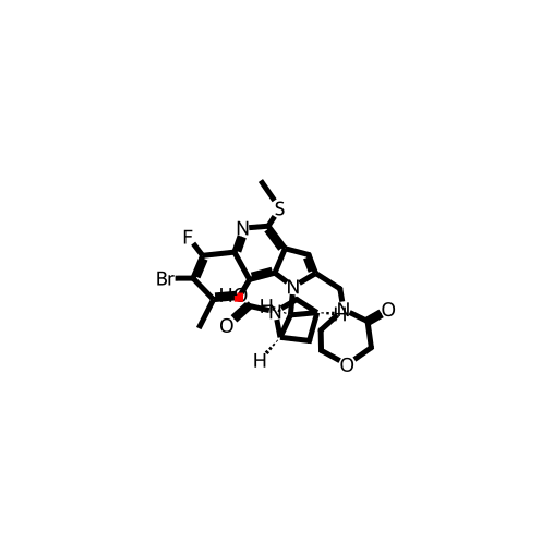 CSc1nc2c(F)c(Br)c(C)cc2c2c1cc(CN1CCOCC1=O)n2[C@H]1[C@@H]2C[C@H]1N(C(=O)O)C2